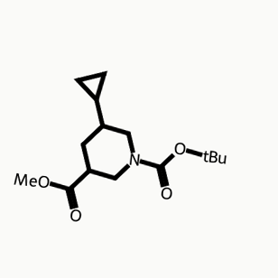 COC(=O)C1CC(C2CC2)CN(C(=O)OC(C)(C)C)C1